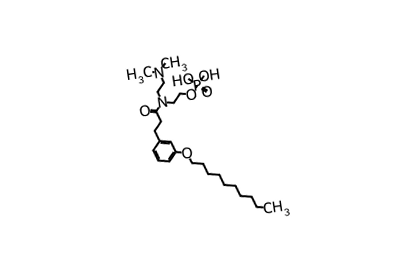 CCCCCCCCCCOc1cccc(CCC(=O)N(CCOP(=O)(O)O)CCN(C)C)c1